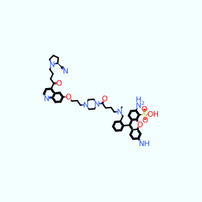 CN(CCCC(=O)N1CCN(CCCOc2ccc3nccc(C(=O)CCCN4CCC[C@H]4C#N)c3c2)CC1)Cc1ccccc1-c1c2ccc(=N)cc-2oc2c(S(=O)(=O)O)c(N)ccc12